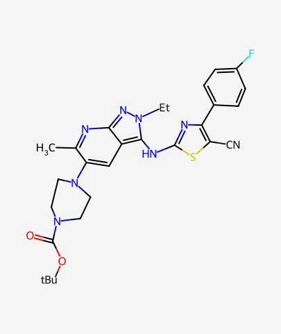 CCn1nc2nc(C)c(N3CCN(C(=O)OC(C)(C)C)CC3)cc2c1Nc1nc(-c2ccc(F)cc2)c(C#N)s1